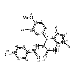 COc1ccc([C@H]2c3c(C)nn(C)c3NC(=O)[C@H]2NC(=O)c2ccc(Cl)cc2)cc1F